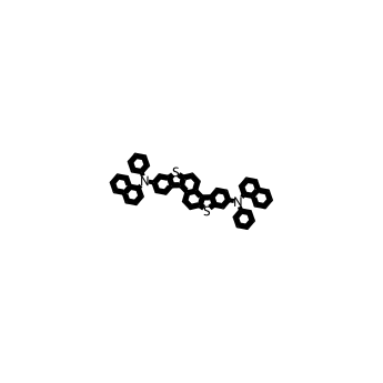 c1ccc(N(c2ccc3c(c2)sc2ccc4c(ccc5sc6cc(N(c7ccccc7)c7cccc8ccccc78)ccc6c54)c23)c2cccc3ccccc23)cc1